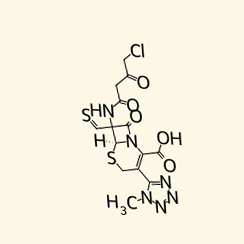 Cn1nnnc1C1=C(C(=O)O)N2C(=O)C(C=S)(NC(=O)CC(=O)CCl)[C@@H]2SC1